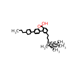 CCCC1CC=C(c2ccc(-c3cc(CCCC[Si](C)(C)C[Si](C)(C)C[Si](C)(C)C)ccc3C(=O)O)cc2)CC1